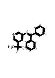 CC(C)(F)c1cncc(N=C(c2ccccc2)c2ccccc2)c1